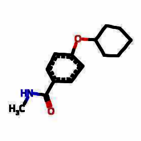 CNC(=O)c1ccc(OC2CCCCC2)cc1